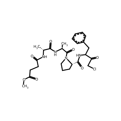 COC(=O)CCC(=O)N[C@H](C)C(=O)N[C@@H](C)C(=O)N1CCC[C@H]1C(=O)NC(Cc1ccccc1)C(=O)CCl